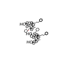 CC(C)C(OC(=O)CC(=O)O)OP(=O)(CCCCc1ccccc1)CC(=O)N1C[C@H](C2CCCCC2)C[C@H]1C(=O)O.CCC(=O)OC(OP(=O)(CCCCc1ccccc1)CC(=O)N1C[C@H](C2CCCCC2)C[C@H]1C(=O)O)C(C)C